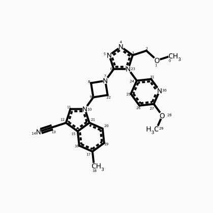 COCc1nnc(N2CC(n3cc(C#N)c4cc(C)ccc43)C2)n1-c1ccc(OC)nc1